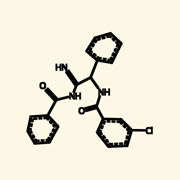 N=C(NC(=O)c1ccccc1)C(NC(=O)c1cccc(Cl)c1)c1ccccc1